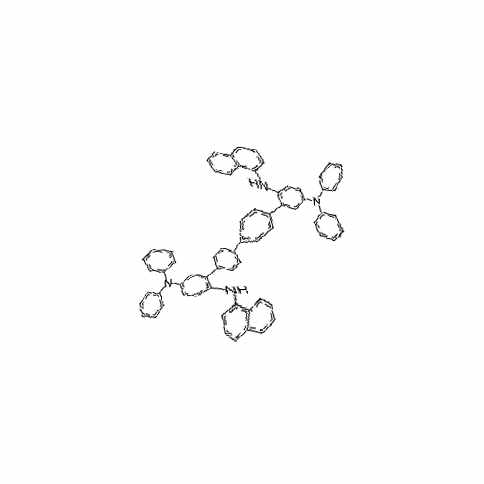 c1ccc(N(c2ccccc2)c2ccc(Nc3cccc4ccccc34)c(-c3ccc(-c4ccc(-c5cc(N(c6ccccc6)c6ccccc6)ccc5Nc5cccc6ccccc56)cc4)cc3)c2)cc1